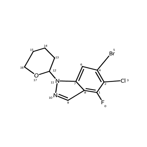 Fc1c(Cl)c(Br)cc2c1cnn2C1CCCCO1